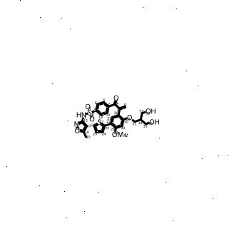 C=C(C(=O)c1ccc(S(=O)(=O)Nc2cc(C)on2)cc1)c1cc(-c2cccs2)c(OC)cc1OCC(CO)CO